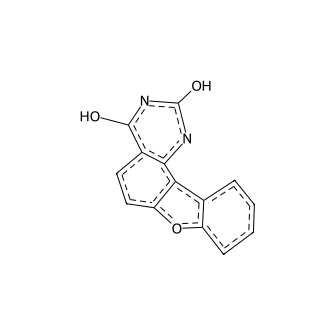 Oc1nc(O)c2ccc3oc4ccccc4c3c2n1